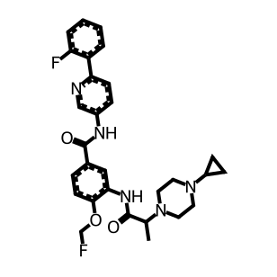 CC(C(=O)Nc1cc(C(=O)Nc2ccc(-c3ccccc3F)nc2)ccc1OCF)N1CCN(C2CC2)CC1